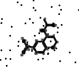 CC(=O)NC1=CCOc2ccc([N+](=O)[O-])cc21